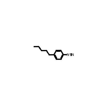 CCCCCc1ccc([N+]#N)cc1